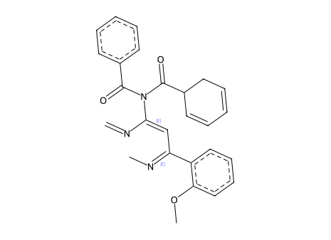 C=N/C(=C\C(=N/C)c1ccccc1OC)N(C(=O)c1ccccc1)C(=O)C1C=CC=CC1